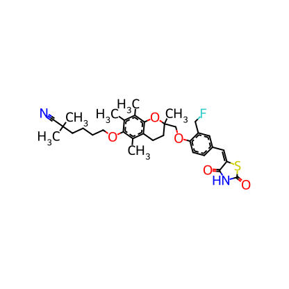 Cc1c(C)c2c(c(C)c1OCCCCC(C)(C)C#N)CCC(C)(COc1ccc(/C=C3/SC(=O)NC3=O)cc1CF)O2